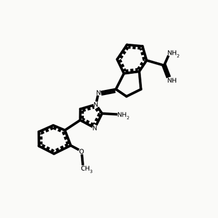 COc1ccccc1-c1cn(N=C2CCc3c(C(=N)N)cccc32)c(N)n1